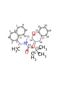 C[C@H](c1cccc2ccccc12)N(C[C@H]1CCc2ccccc2O1)C(=O)OC(C)(C)C